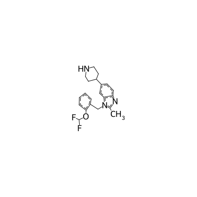 Cc1nc2ccc(C3CCNCC3)cc2n1Cc1ccccc1OC(F)F